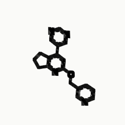 c1cncc(COc2cc(-c3cncnc3)c3c(n2)CCC3)c1